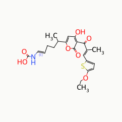 CCOc1ccc(C=C(C)C(=O)c2c(O)cc(C(C)CC/C=C/NC(=O)O)oc2=O)s1